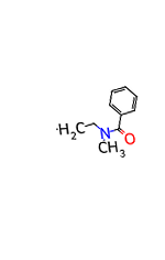 [CH2]CN(C)C(=O)c1ccccc1